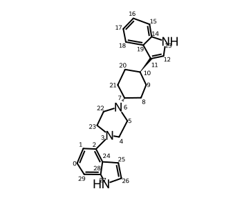 c1cc(N2CCN([C@H]3CC[C@H](c4c[nH]c5ccccc54)CC3)CC2)c2cc[nH]c2c1